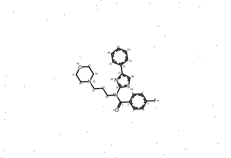 O=C(c1ccc(F)cc1)N(CCCN1CCOCC1)c1nc(-c2ccccc2)cs1